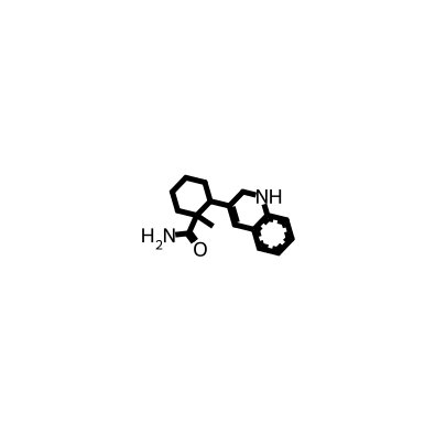 CC1(C(N)=O)CCCCC1C1=Cc2ccccc2NC1